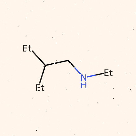 CCNCC(CC)CC